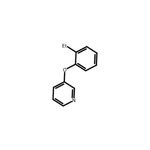 CCc1ccccc1Oc1cccnc1